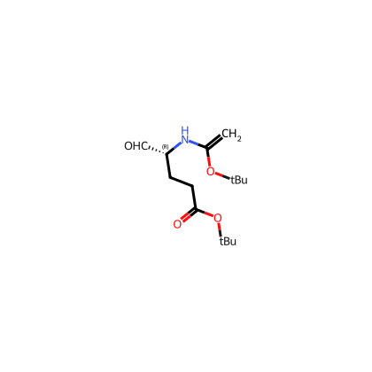 C=C(N[C@@H](C=O)CCC(=O)OC(C)(C)C)OC(C)(C)C